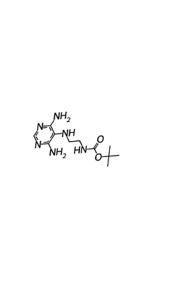 CC(C)(C)OC(=O)NCCNc1c(N)ncnc1N